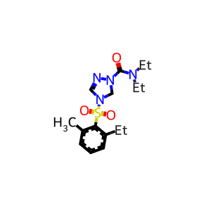 CCc1cccc(C)c1S(=O)(=O)N1C=NN(C(=O)N(CC)CC)C1